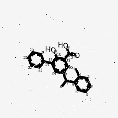 Cc1ccccc1C(C)c1cc(C(=O)O)c(O)c(-c2ccccc2)c1